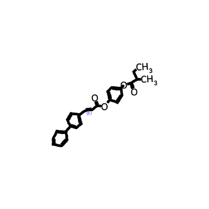 CCC(C)C(=O)Oc1ccc(OC(=O)/C=C/c2ccc(-c3ccccc3)cc2)cc1